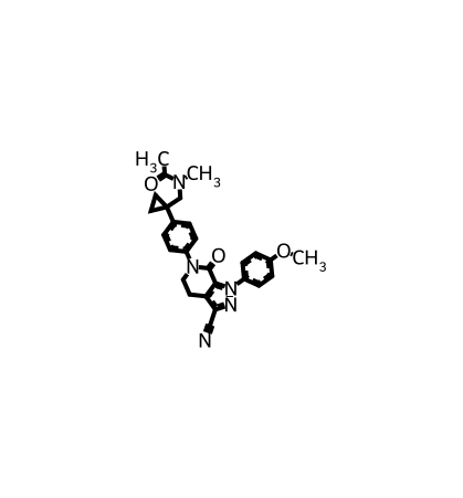 COc1ccc(-n2nc(C#N)c3c2C(=O)N(c2ccc(C4(CN(C)C(C)=O)CC4)cc2)CC3)cc1